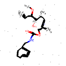 C=CC(OC)[C@@H](O)[C@H](C)/C=C(/C)COC(=O)NCc1ccccc1